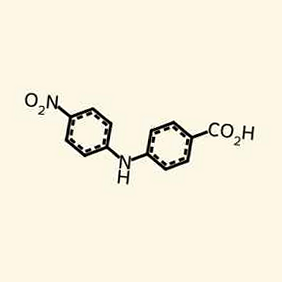 O=C(O)c1ccc(Nc2ccc([N+](=O)[O-])cc2)cc1